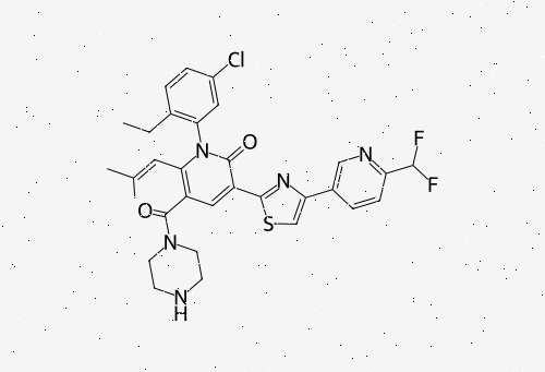 CCc1ccc(Cl)cc1-n1c(C=C(C)C)c(C(=O)N2CCNCC2)cc(-c2nc(-c3ccc(C(F)F)nc3)cs2)c1=O